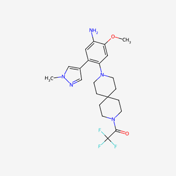 COc1cc(N2CCC3(CCN(C(=O)C(F)(F)F)CC3)CC2)c(-c2cnn(C)c2)cc1N